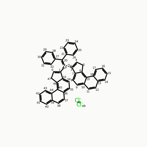 C1=[C]([Zr+2]([C]2=CCc3c2ccc2ccc4ccccc4c32)=[C](c2ccccc2)c2ccccc2)c2ccc3ccc4ccccc4c3c2C1.[Cl-].[Cl-]